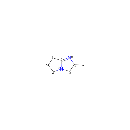 CC1CN2CCCC2=N1